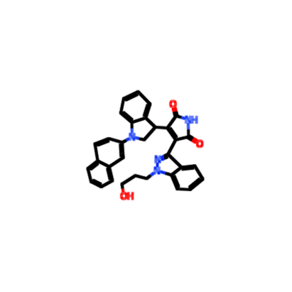 O=C1NC(=O)C(C2CN(c3ccc4ccccc4c3)c3ccccc32)=C1c1nn(CCCO)c2ccccc12